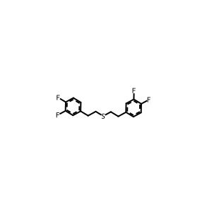 Fc1ccc(CCSCCc2ccc(F)c(F)c2)cc1F